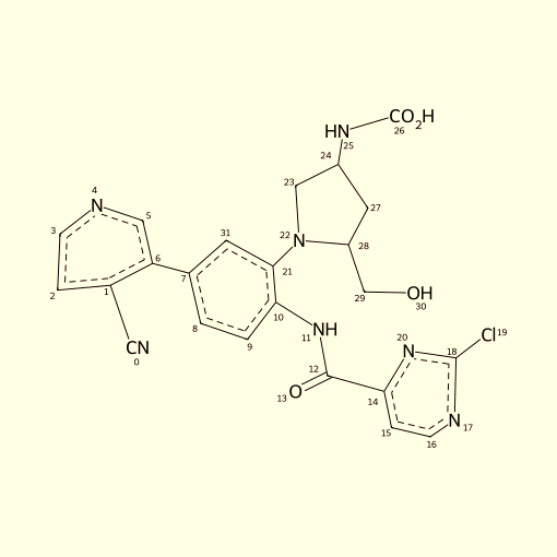 N#Cc1ccncc1-c1ccc(NC(=O)c2ccnc(Cl)n2)c(N2CC(NC(=O)O)CC2CO)c1